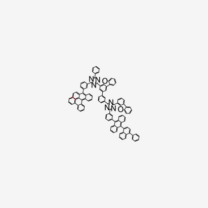 c1ccc(-c2nc(-c3cccc(-c4c5ccccc5c(-c5ccccc5-c5ccccc5)c5ccccc45)c3)nc(-c3cc(-c4cccc(-c5nc(-c6cccc(-c7c8ccccc8c(-c8ccc(-c9ccccc9)c9ccccc89)c8ccccc78)c6)nc(-c6cccc7c6oc6ccccc67)n5)c4)cc4c3oc3ccccc34)n2)cc1